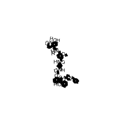 CCOc1cc(C(=O)N[C@H]2C[C@H](NC(=O)COc3cccc(C(O)(C(=O)OCC4CCN(Cc5ccccc5)CC4)c4ccccc4)c3)C2)ccc1CNC[C@H](O)c1ccc(O)c2[nH]c(=O)ccc12